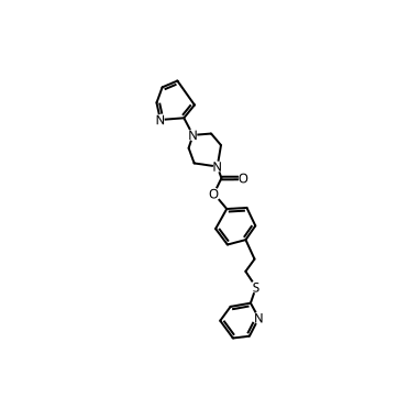 O=C(Oc1ccc(CCSc2ccccn2)cc1)N1CCN(c2ccccn2)CC1